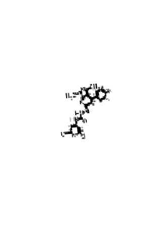 Cc1nn(C)c2nc(NNC(=O)Nc3cc(Cl)nc(Cl)c3)cc(-c3ccc(F)cc3)c12